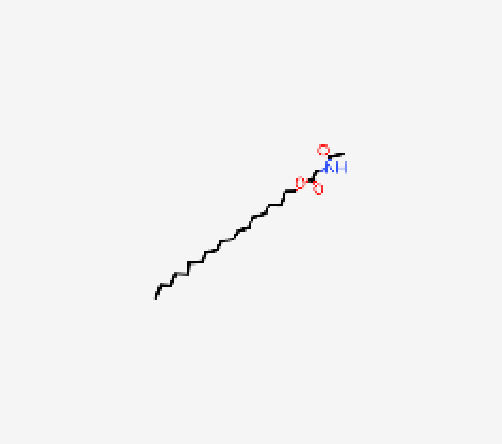 CCCCCCCCCCCCCCCCCCCOC(=O)CNC(C)=O